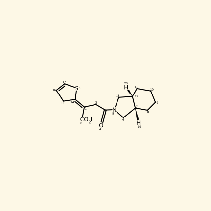 O=C(O)/C(CC(=O)N1C[C@H]2CCCC[C@H]2C1)=C1\CC=CS1